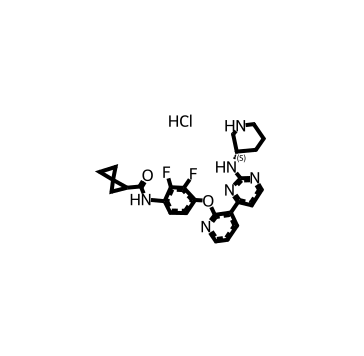 Cl.O=C(Nc1ccc(Oc2ncccc2-c2ccnc(N[C@H]3CCCNC3)n2)c(F)c1F)C1CC12CC2